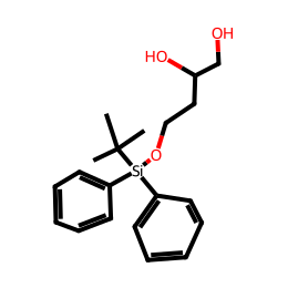 CC(C)(C)[Si](OCCC(O)CO)(c1ccccc1)c1ccccc1